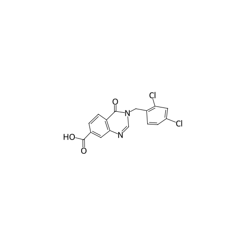 O=C(O)c1ccc2c(=O)n(Cc3ccc(Cl)cc3Cl)cnc2c1